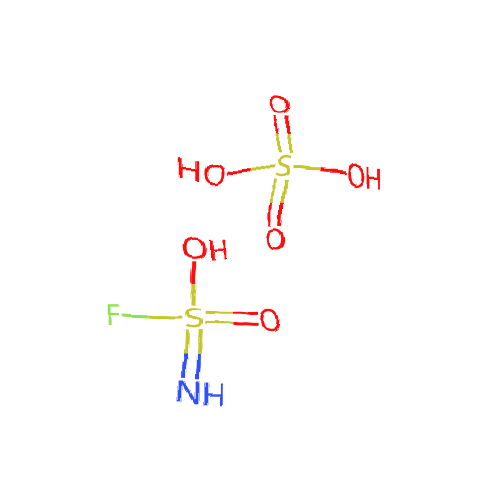 N=S(=O)(O)F.O=S(=O)(O)O